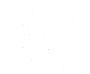 CC1(C)CC2(C)CC(c3ccc(O)cc3O)(C1)CC(I)(C13CC4(C)CC(C)(CC(c5ccc(O)cc5O)(C4)C1)C3)C2